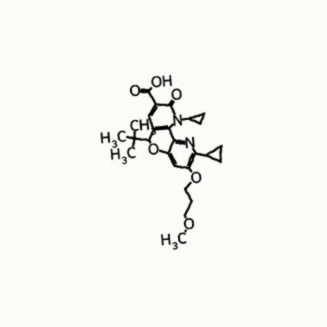 COCCCOc1cc2c(nc1C1CC1)-c1c(cc(C(=O)O)c(=O)n1C1CC1)C(C(C)(C)C)O2